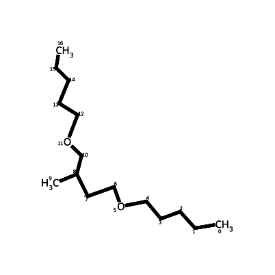 CCCCCOC[CH]C(C)COCCCCC